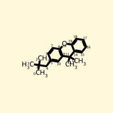 CC(C)(C)Cc1ccc2c(c1)C(C)(C)c1ccccc1O2